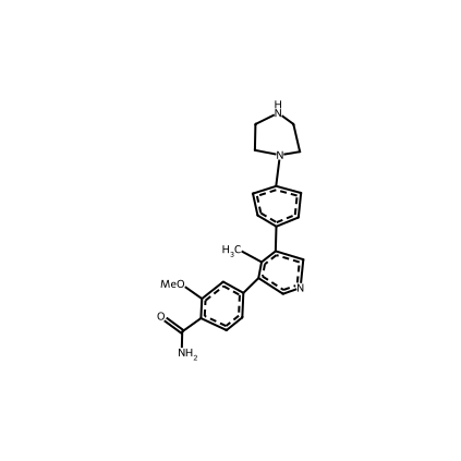 COc1cc(-c2cncc(-c3ccc(N4CCNCC4)cc3)c2C)ccc1C(N)=O